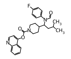 CC(C)CC(C1CCN(C(=O)Oc2ccnc3ccccc23)CC1)N(C=O)c1ccc(F)cc1